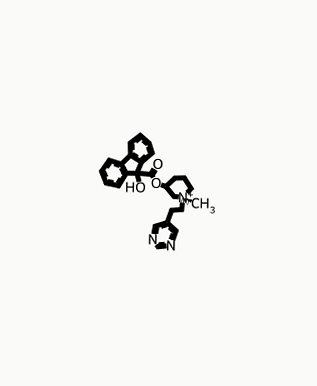 C[N@+]1(CCc2cncnc2)CCCC(OC(=O)C2(O)c3ccccc3-c3ccccc32)C1